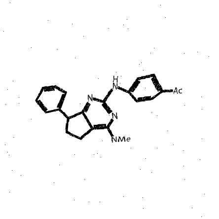 CNc1nc(Nc2ccc(C(C)=O)cc2)nc2c1CCC2c1ccccc1